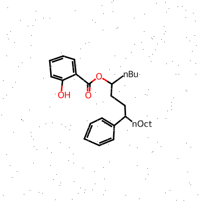 CCCCCCCCC(CCC(CCCC)OC(=O)c1ccccc1O)c1ccccc1